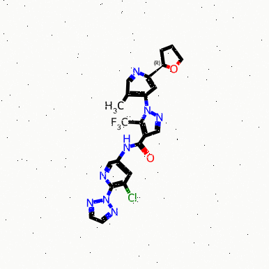 Cc1cnc([C@H]2CCCO2)cc1-n1ncc(C(=O)Nc2cnc(-n3nccn3)c(Cl)c2)c1C(F)(F)F